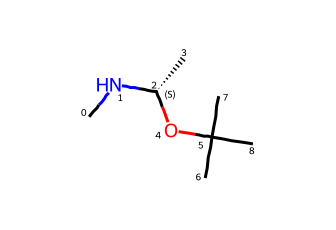 CN[C@H](C)OC(C)(C)C